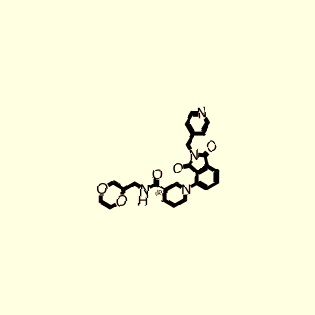 O=C(NCC1COCCO1)[C@@H]1CCCN(c2cccc3c2C(=O)N(Cc2ccncc2)C3=O)C1